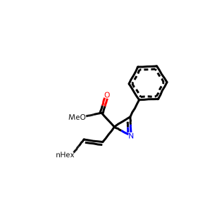 CCCCCCC=CC1(C(=O)OC)N=C1c1ccccc1